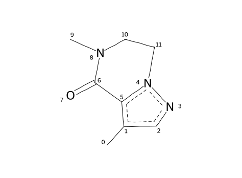 Cc1cnn2c1C(=O)N(C)CC2